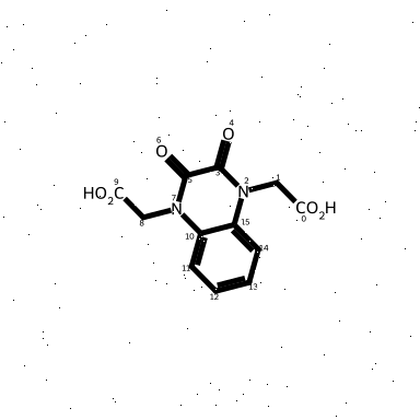 O=C(O)Cn1c(=O)c(=O)n(CC(=O)O)c2ccccc21